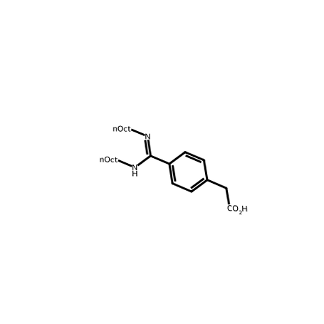 CCCCCCCCN=C(NCCCCCCCC)c1ccc(CC(=O)O)cc1